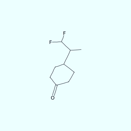 CC(C(F)F)C1CCC(=O)CC1